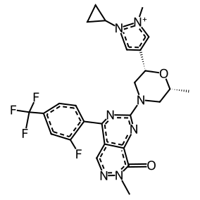 C[C@@H]1CN(c2nc(-c3ccc(C(F)(F)F)cc3F)c3cnn(C)c(=O)c3n2)C[C@H](c2cn(C3CC3)[n+](C)c2)O1